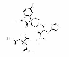 CN(C)C(=O)C(Cc1cscn1)CN1CCC2(CC1)C(=O)N(C)c1ccc(F)cc12.O=C(O)CC(O)(CC(=O)O)C(=O)O